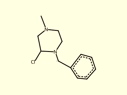 CN1CCN([CH]c2ccccc2)C(Cl)C1